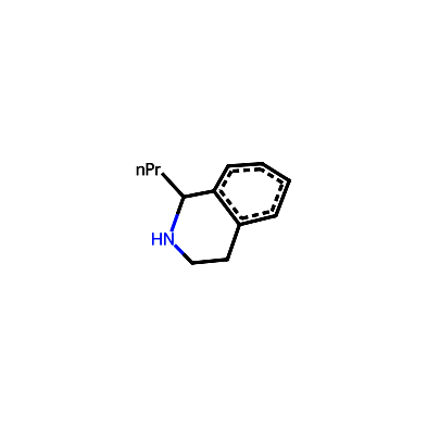 [CH2]CCC1NCCc2ccccc21